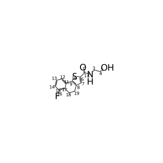 O=C(NCCO)c1cc2c(s1)-c1cccc(F)c1CC2